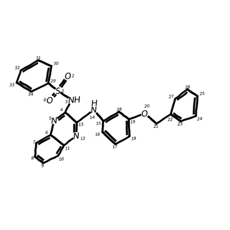 O=S(=O)(Nc1nc2ccccc2nc1Nc1cccc(OCc2ccccc2)c1)c1ccccc1